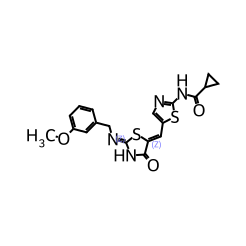 COc1cccc(C/N=C2/NC(=O)/C(=C/c3cnc(NC(=O)C4CC4)s3)S2)c1